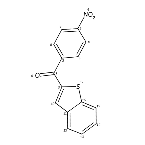 O=C(c1ccc([N+](=O)[O-])cc1)c1cc2ccccc2s1